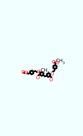 COC(=O)c1ccc(CCOc2ccc(Cc3cc(C)c(OCCc4ccc(COC=O)cc4)c(C=O)c3)cc2C=O)cc1